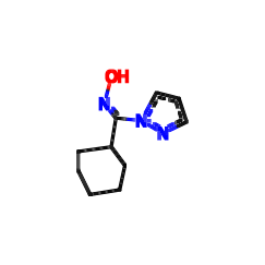 ON=C(C1CCCCC1)n1cccn1